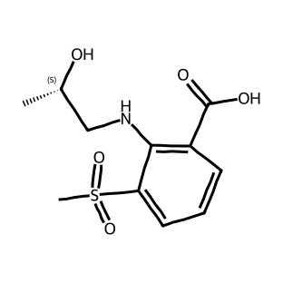 C[C@H](O)CNc1c(C(=O)O)cccc1S(C)(=O)=O